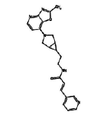 Cc1nc2nccc(N3CC4C(CCNC(=O)/C=C/c5cccnc5)C4C3)c2o1